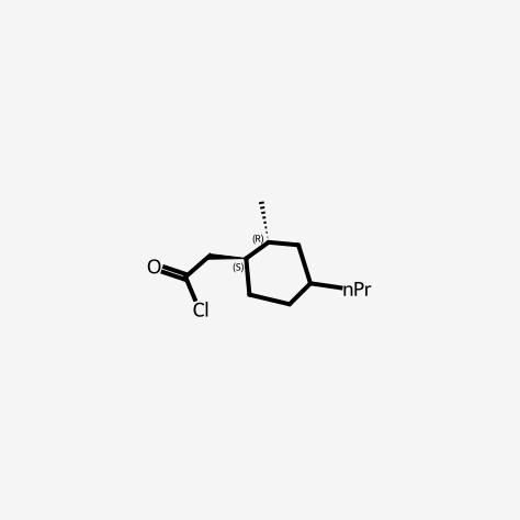 CCCC1CC[C@@H](CC(=O)Cl)[C@H](C)C1